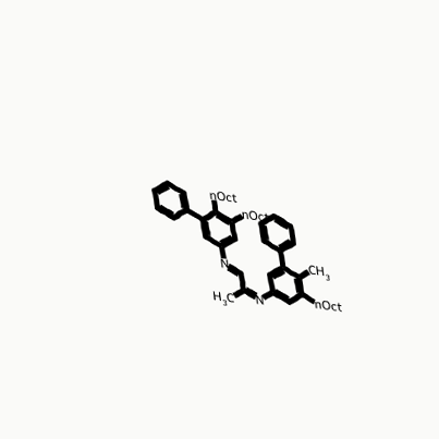 CCCCCCCCc1cc(N=C(C)C=Nc2cc(CCCCCCCC)c(CCCCCCCC)c(-c3ccccc3)c2)cc(-c2ccccc2)c1C